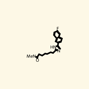 CNC(=O)CCCCCCc1ncc(-c2ccc3cc(F)ccc3c2)[nH]1